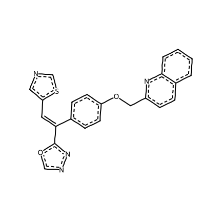 C(=C(/c1ccc(OCc2ccc3ccccc3n2)cc1)c1nnco1)/c1cncs1